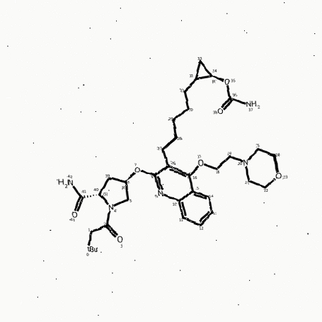 CC(C)(C)CC(=O)N1C[C@H](Oc2nc3ccccc3c(OCCN3CCOCC3)c2CCCCCC2C[C@H]2OC(N)=O)C[C@H]1C(N)=O